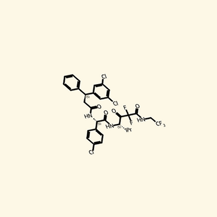 CC(C)[C@H](NC(=O)[C@@H](NC(=O)C[C@@H](c1ccccc1)c1cc(Cl)cc(Cl)c1)c1ccc(Cl)cc1)C(=O)C(F)(F)C(=O)NCC(F)(F)F